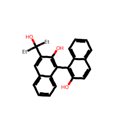 CCC(O)(CC)c1cc2ccccc2c(-c2c(O)ccc3ccccc23)c1O